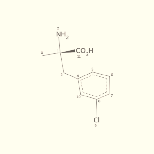 C[C@](N)(Cc1cccc(Cl)c1)C(=O)O